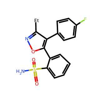 CCc1noc(-c2ccccc2S(N)(=O)=O)c1-c1ccc(F)cc1